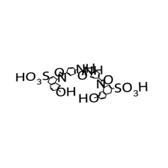 O=C(Nc1ccc(C(=O)N=C2C=C(S(=O)(=O)O)Cc3ccc(O)cc32)cc1)Nc1ccc(C(=O)N=C2C=C(S(=O)(=O)O)Cc3ccc(O)cc32)cc1